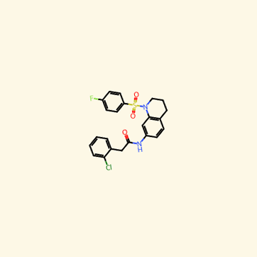 O=C(Cc1ccccc1Cl)Nc1ccc2c(c1)N(S(=O)(=O)c1ccc(F)cc1)CCC2